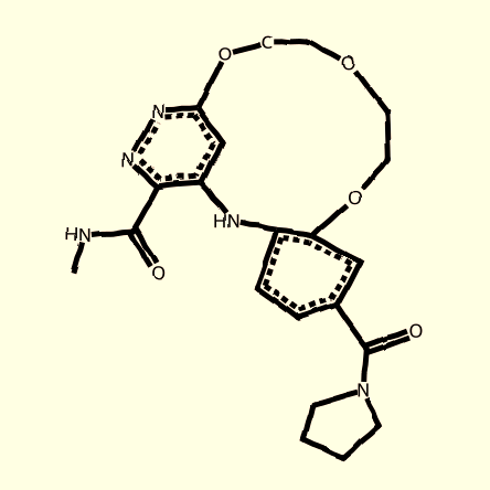 CNC(=O)c1nnc2cc1Nc1ccc(C(=O)N3CCCC3)cc1OCCOCCO2